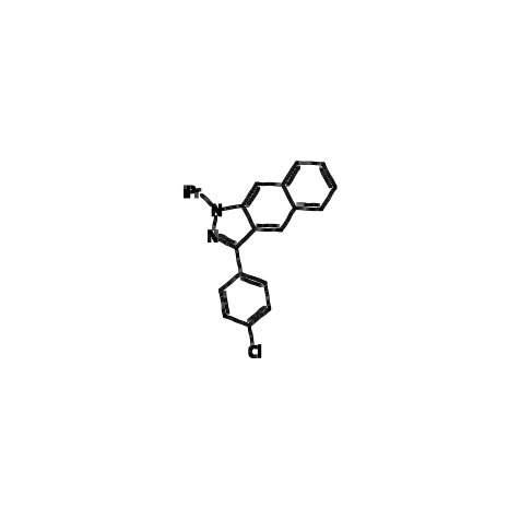 CC(C)n1nc(-c2ccc(Cl)cc2)c2cc3ccccc3cc21